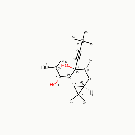 CCC(C)[C@@H](C)[C@@H](O)[C@H]1C2[C@@H](C[C@@H](C)[C@]1(O)C#C[Si](C)(C)C)C2(C)C